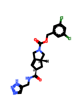 O=C(NCc1cnn[nH]1)[C@@H]1C=C2CN(C(=O)OCc3cc(Cl)cc(Cl)c3)C[C@@H]2C1